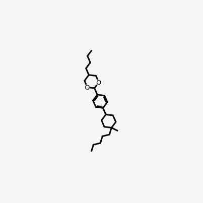 CCCCCC1(C)CCC(c2ccc(C3OCC(CCCC)CO3)cc2)CC1